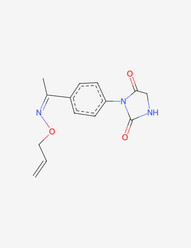 C=CCO/N=C(/C)c1ccc(N2C(=O)CNC2=O)cc1